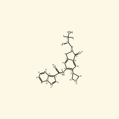 CC(C)(O)[C@H](F)CN1Cc2cc(NC(=O)c3cnn4cccnc34)c(C3COC3)cc2C1=O